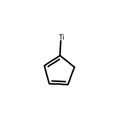 [Ti][C]1=CC=CC1